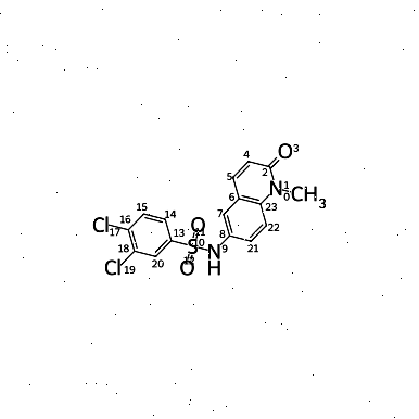 Cn1c(=O)ccc2cc(NS(=O)(=O)c3ccc(Cl)c(Cl)c3)ccc21